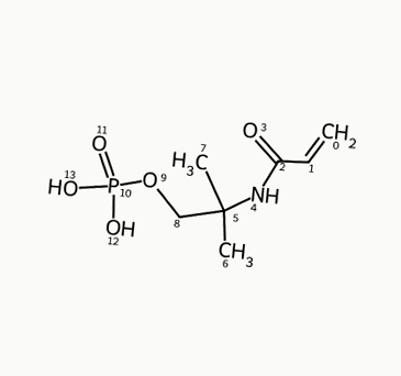 C=CC(=O)NC(C)(C)COP(=O)(O)O